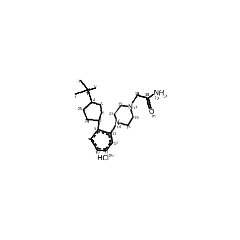 CC(C)(C)C1CCC(c2ccccc2N2CCN(CC(N)=O)CC2)CC1.Cl